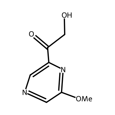 COc1cncc(C(=O)CO)n1